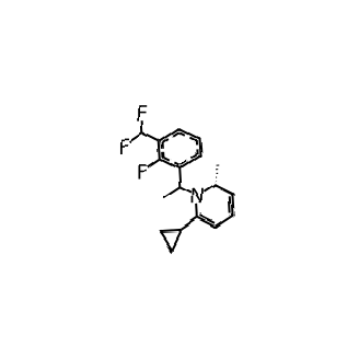 CC(c1cccc(C(F)F)c1F)N1C(C2CC2)=CC=C[C@H]1C